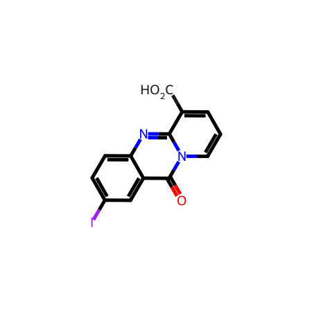 O=C(O)c1cccn2c(=O)c3cc(I)ccc3nc12